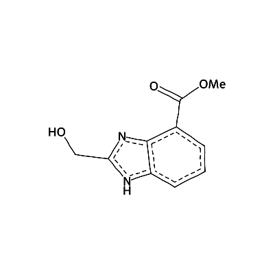 COC(=O)c1cccc2[nH]c(CO)nc12